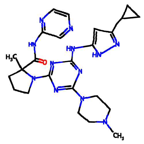 CN1CCN(c2nc(Nc3cc(C4CC4)n[nH]3)nc(N3CCCC3(C)C(=O)Nc3cnccn3)n2)CC1